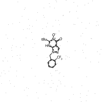 CC(C)(C)c1[nH]c2c(cnn2Cc2ccccc2C(F)(F)F)c(=O)[n+]1[O-]